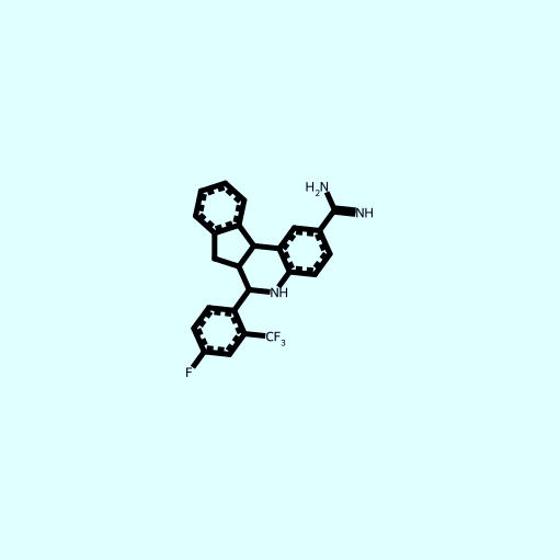 N=C(N)c1ccc2c(c1)C1c3ccccc3CC1C(c1ccc(F)cc1C(F)(F)F)N2